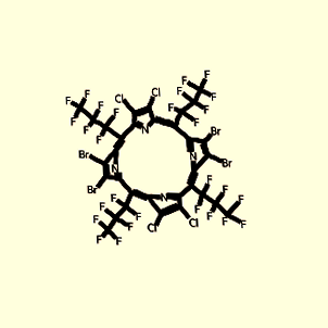 FC(F)(F)C(F)(F)C(F)(F)C1=C2N=C(C(Cl)=C2Cl)C(C(F)(F)C(F)(F)C(F)(F)F)=C2N=C(C(Br)=C2Br)C(C(F)(F)C(F)(F)C(F)(F)F)=C2N=C(C(Cl)=C2Cl)C(C(F)(F)C(F)(F)C(F)(F)F)=C2N=C1C(Br)=C2Br